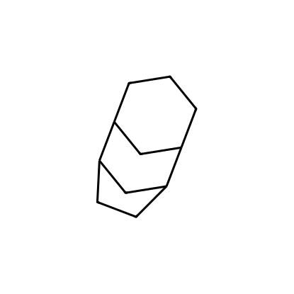 C1CC2CC(C1)C1CCC2C1